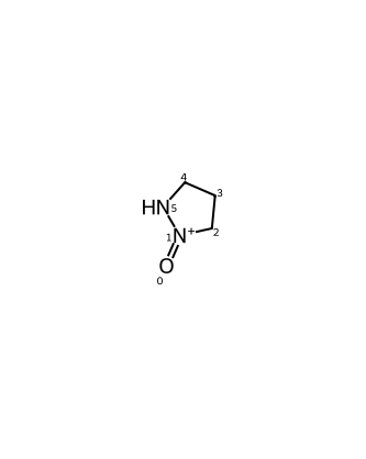 O=[N+]1CCCN1